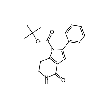 CC(C)(C)OC(=O)n1c(-c2ccccc2)cc2c1CCNC2=O